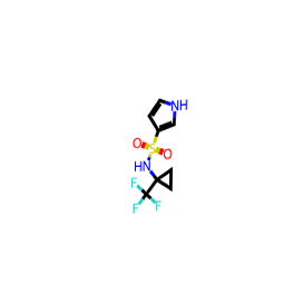 O=S(=O)(NC1(C(F)(F)F)CC1)c1cc[nH]c1